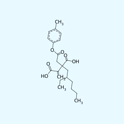 C=C(C(=O)O)C(CC(=O)Oc1ccc(C)cc1)(CC(CC)CCCC)C(=O)O